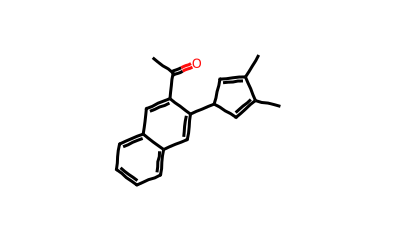 CC(=O)c1cc2ccccc2cc1C1C=C(C)C(C)=C1